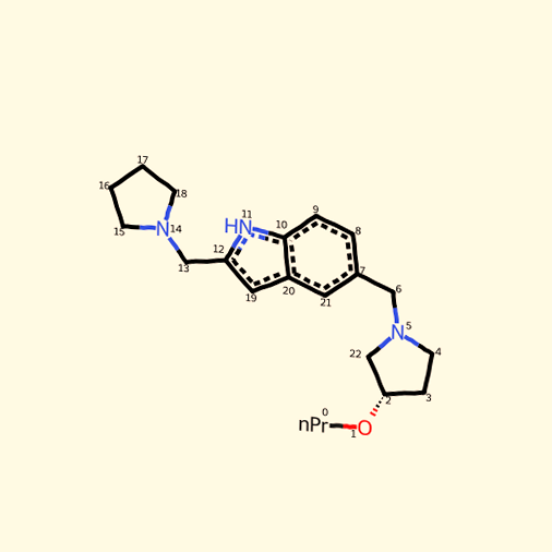 CCCO[C@H]1CCN(Cc2ccc3[nH]c(CN4CCCC4)cc3c2)C1